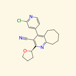 N#Cc1c([C@H]2CCCO2)nc2c(c1-c1ccnc(Cl)c1)CCCCC2